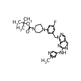 Cn1cc(Nc2ncc3cnn(Cc4cc(F)cc(N5CCN(C(=O)OC(C)(C)C)CC5)c4)c3n2)cn1